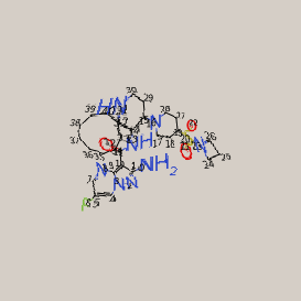 Nc1nn2cc(F)cnc2c1C(=O)NC1C(N2CCC(S(=O)(=O)N3CCC3)CC2)CCNC12CCCCCCCC2